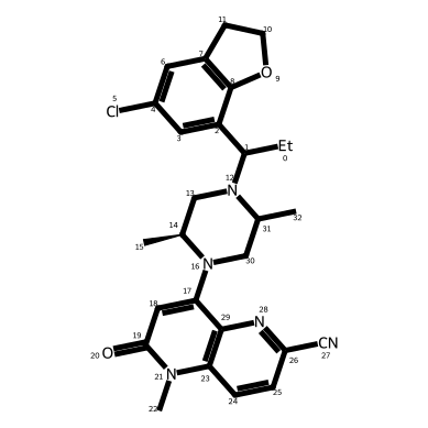 CCC(c1cc(Cl)cc2c1OCC2)N1C[C@H](C)N(c2cc(=O)n(C)c3ccc(C#N)nc23)CC1C